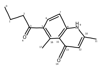 CCCC(=O)c1ccc2[nH]c(C)cc(=O)c2c1C